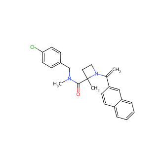 C=C(c1ccc2ccccc2c1)N1CCC1(C)C(=O)N(C)Cc1ccc(Cl)cc1